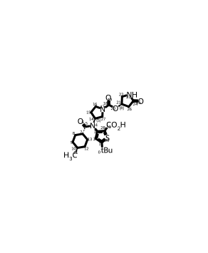 CC(C)(C)c1cc(N(C(=O)[C@H]2CC[C@H](C)CC2)[C@H]2CCN(C(=O)O[C@H]3CNC(=O)C3)C2)c(C(=O)O)s1